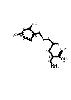 CC(CCCc1ccc(F)cc1F)CC(CN)C(=O)O